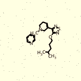 CC(C)CCCOc1nsnc1C1=CCCN(C)C1.c1ccncc1